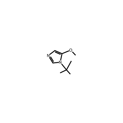 COc1cncn1C(C)(C)C